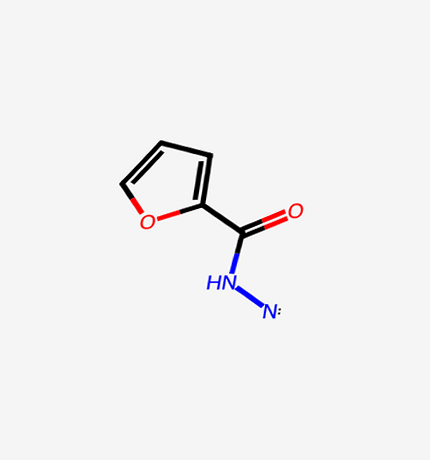 [N]NC(=O)c1ccco1